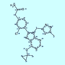 Cc1nnc(Cn2c(-c3ccc(CC(N)=O)cc3Cl)nc3c(OC4(C)CC4)ncnc32)s1